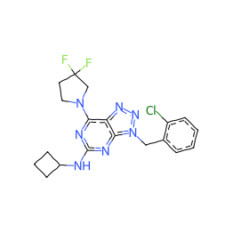 FC1(F)CCN(c2nc(NC3CCC3)nc3c2nnn3Cc2ccccc2Cl)C1